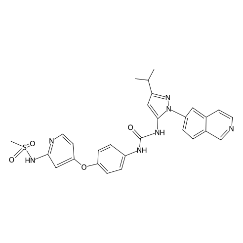 CC(C)c1cc(NC(=O)Nc2ccc(Oc3ccnc(NS(C)(=O)=O)c3)cc2)n(-c2ccc3cnccc3c2)n1